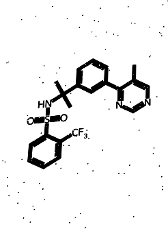 Cc1cncnc1-c1cccc(C(C)(C)NS(=O)(=O)c2ccccc2C(F)(F)F)c1